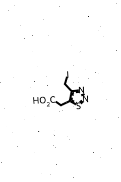 O=C(O)Cc1snnc1CI